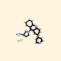 Cl.NC1CCN(c2c3c(nc4ccc(-c5ccncc5)cc24)CCCC3)C1